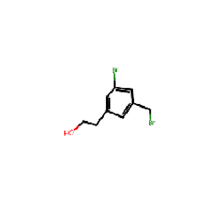 OCCc1cc(Br)cc(CBr)c1